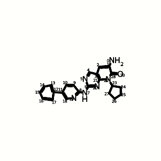 Nc1cc2cnc(Nc3ccc(-c4ccccc4)cn3)nc2n(C2CCCC2)c1=O